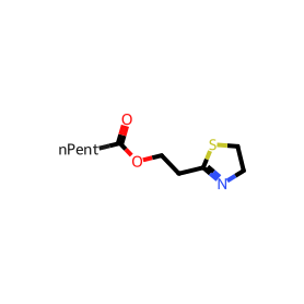 CCCCCC(=O)OCCC1=NCCS1